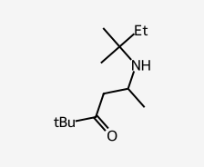 CCC(C)(C)NC(C)CC(=O)C(C)(C)C